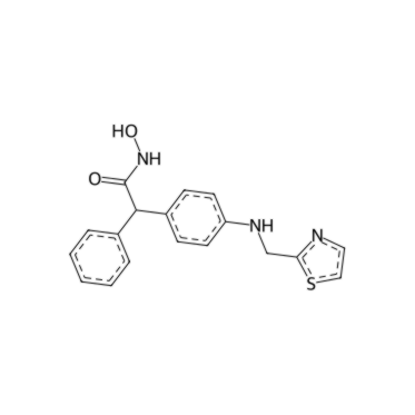 O=C(NO)C(c1ccccc1)c1ccc(NCc2nccs2)cc1